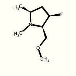 COC[C@@H]1[C@H](F)C[C@H](C)N1C